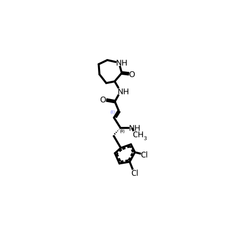 CN[C@@H](/C=C/C(=O)NC1CCCCNC1=O)Cc1ccc(Cl)c(Cl)c1